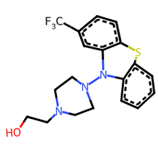 OCCN1CCN(N2c3ccccc3Sc3ccc(C(F)(F)F)cc32)CC1